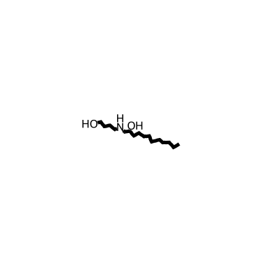 CCCCCCCCCCC(O)CNCCCCO